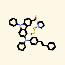 O=C(c1ccc2c(c1)c1cc(N(c3ccccc3)c3ccc(/C=C/c4ccccc4)cc3)ccc1n2-c1ccccc1)[C@@H]1CCCN1OSI